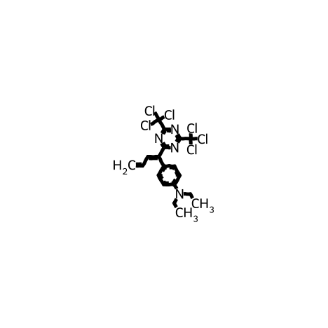 C=C/C=C(\c1ccc(N(CC)CC)cc1)c1nc(C(Cl)(Cl)Cl)nc(C(Cl)(Cl)Cl)n1